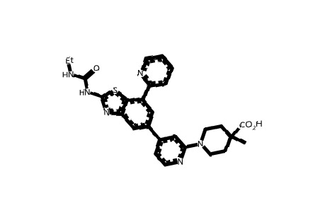 CCNC(=O)Nc1nc2cc(-c3ccnc(N4CCC(C)(C(=O)O)CC4)c3)cc(-c3ccccn3)c2s1